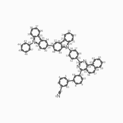 N#Cc1cccc(-c2cccc(-c3nc(-c4ccc(-n5c6ccccc6c6cc(-c7ccc8c(c7)c7ccccc7n8-c7ccccc7)ccc65)cc4)nc4c3ccc3ccccc34)c2)c1